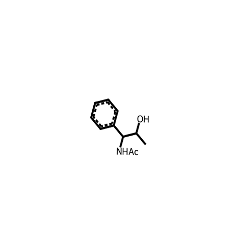 CC(=O)NC(c1ccccc1)C(C)O